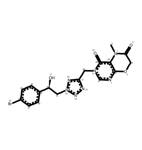 CN1C(=O)COc2ncn(Cc3nnn(C[C@H](O)c4ccc(Br)cc4)n3)c(=O)c21